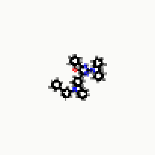 c1ccc(-c2cccc(-n3c4ccccc4c4cc(-c5nc(-n6c7ccccc7c7ccccc76)nc6c5oc5ccccc56)ccc43)c2)cc1